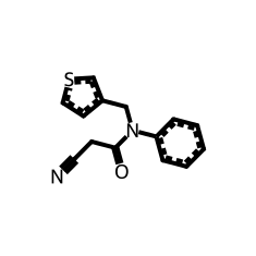 N#CCC(=O)N(Cc1ccsc1)c1ccccc1